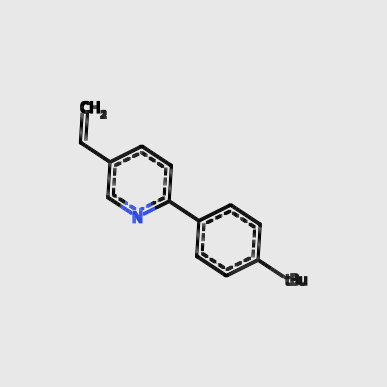 C=Cc1ccc(-c2ccc(C(C)(C)C)cc2)nc1